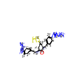 [N-]=[N+]=Nc1ccc(/C=C2\CC(S)C/C(=C\c3ccc(N=[N+]=[N-])cc3)C2=O)cc1